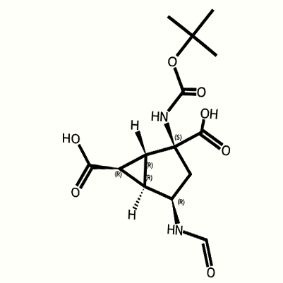 CC(C)(C)OC(=O)N[C@@]1(C(=O)O)C[C@@H](NC=O)[C@H]2[C@@H](C(=O)O)[C@@H]21